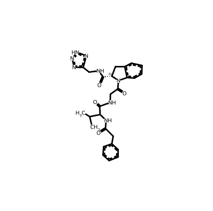 CC(C)C(NC(=O)Cc1ccccc1)C(=O)NCC(=O)N1c2ccccc2C[C@H]1C(=O)NCc1nn[nH]n1